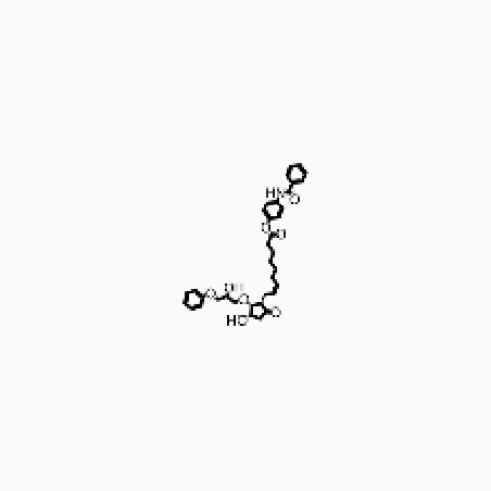 O=C(CCCCC/C=C\C[C@H]1C(=O)C[C@H](O)[C@H]1OCC(O)COc1ccccc1)Oc1ccc(NC(=O)c2ccccc2)cc1